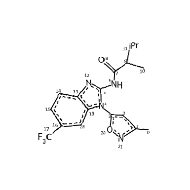 Cc1cc(-n2c(NC(=O)C(C)C(C)C)nc3ccc(C(F)(F)F)cc32)on1